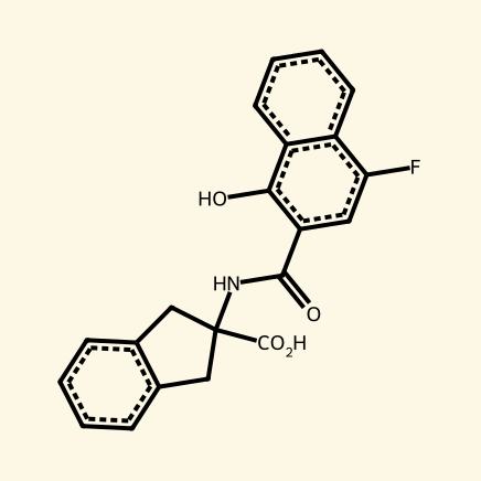 O=C(NC1(C(=O)O)Cc2ccccc2C1)c1cc(F)c2ccccc2c1O